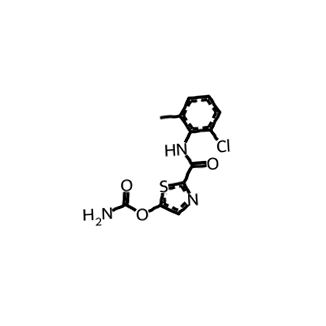 Cc1cccc(Cl)c1NC(=O)c1ncc(OC(N)=O)s1